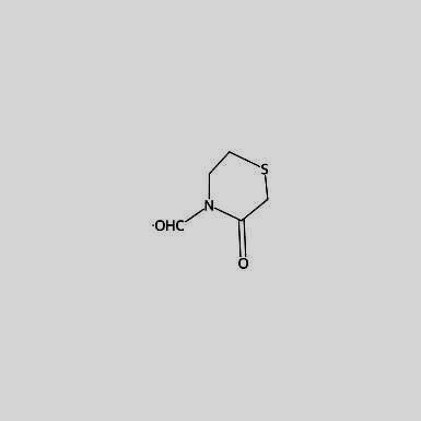 O=[C]N1CCSCC1=O